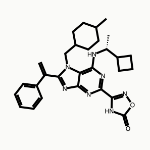 C=C(c1ccccc1)c1nc2nc(-c3noc(=O)[nH]3)nc(N[C@H](C)C3CCC3)c2n1CC1CCC(C)CC1